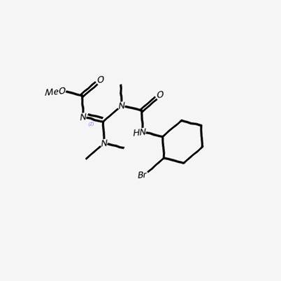 COC(=O)/N=C(/N(C)C)N(C)C(=O)NC1CCCCC1Br